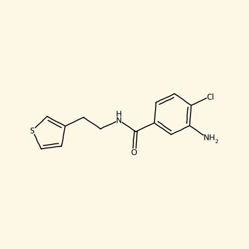 Nc1cc(C(=O)NCCc2ccsc2)ccc1Cl